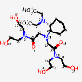 O=C(O)CN(CC(=O)O)[C@@H]1CCCC[C@H]1N(CC(=O)N(CCO)CCO)CC(=O)N(CCO)CCO